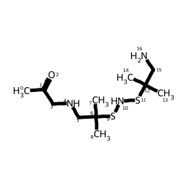 CC(=O)CNCC(C)(C)SNSC(C)(C)CN